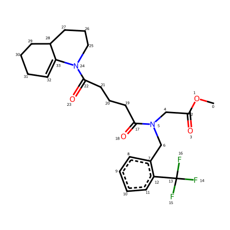 COC(=O)CN(Cc1ccccc1C(F)(F)F)C(=O)CCCC(=O)N1CCCC2CCCC=C21